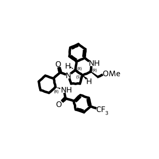 COC[C@@H]1Nc2ccccc2[C@H]2[C@H]1CCN2C(=O)C1CCCC[C@H]1NC(=O)c1ccc(C(F)(F)F)cc1